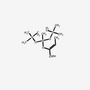 CC=C(OC)O[Si](C)(O[Si](C)(C)C)O[Si](C)(C)C